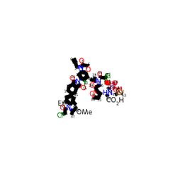 C#CCN1C(=O)COc2cc(F)c(N3C(=O)C4=C(CCCC4)C3=O)cc21.CC1(C)OC(c2ccco2)CN1C(=O)C(Cl)Cl.CCc1cccc(C)c1N(C(=O)CCl)C(C)COC.C[S+](C)C.O=C(O)CNCP(=O)([O-])O